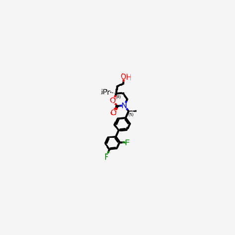 CC(C)[C@]1(CCO)CCN([C@@H](C)c2ccc(-c3ccc(F)cc3F)cc2)C(=O)O1